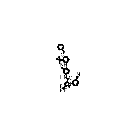 N#Cc1cccc(-n2nc(C(F)(F)F)cc2C(=O)Nc2cccc(CNCC3(c4ccccc4OCc4ccccc4)CC3)c2)c1